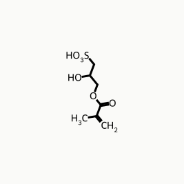 C=C(C)C(=O)OCC(O)CS(=O)(=O)O